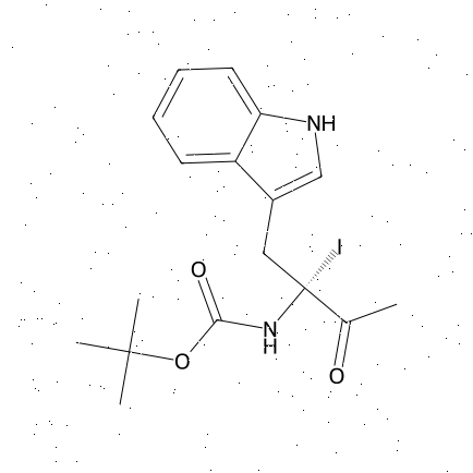 CC(=O)[C@](I)(Cc1c[nH]c2ccccc12)NC(=O)OC(C)(C)C